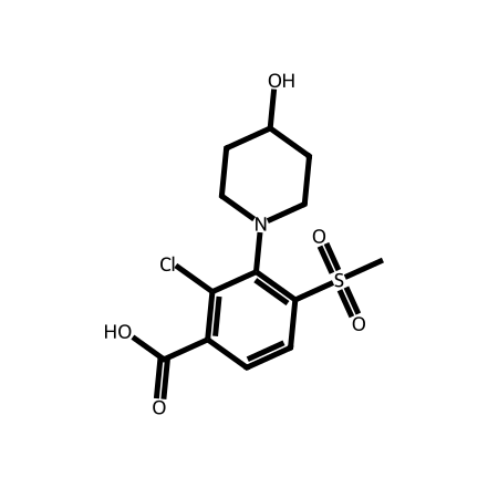 CS(=O)(=O)c1ccc(C(=O)O)c(Cl)c1N1CCC(O)CC1